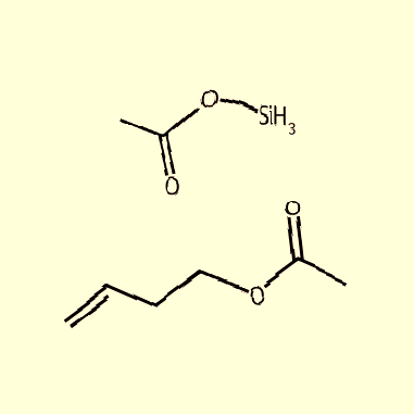 C=CCCOC(C)=O.CC(=O)O[SiH3]